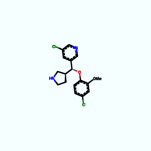 COc1cc(Cl)ccc1O[C@@H](c1cncc(Cl)c1)[C@H]1CCNC1